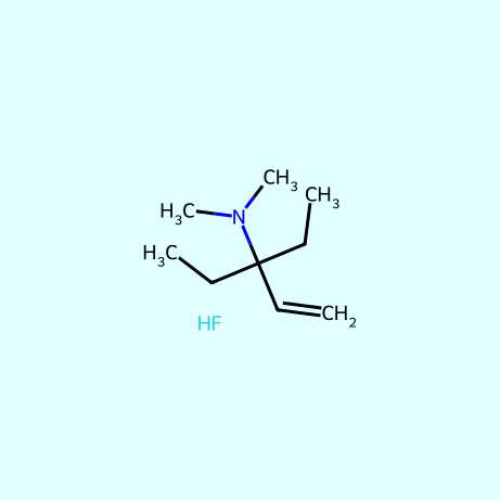 C=CC(CC)(CC)N(C)C.F